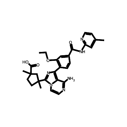 CCOc1cc(C(=O)Nc2cc(C)ccn2)ccc1-c1nc(C2(C)CCC(C)(C(=O)O)C2)n2ccnc(N)c12